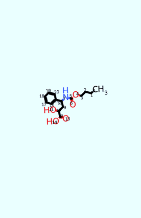 CCCCOC(=O)NC(CC(O)C(=O)O)c1ccccc1